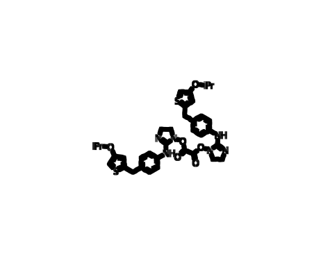 CC(C)Oc1csc(Cc2ccc(NC3=NCCN3OC(=O)C(=O)ON3CCN=C3Nc3ccc(Cc4cc(OC(C)C)cs4)cc3)cc2)c1